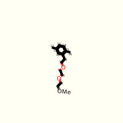 COCCOCCOCCc1cc(C)ccc1C